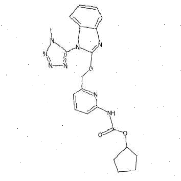 Cn1nnnc1-n1c(OCc2cccc(NC(=O)OC3CCCC3)n2)nc2ccccc21